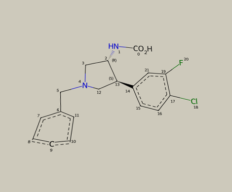 O=C(O)N[C@H]1CN(Cc2ccccc2)C[C@@H]1c1ccc(Cl)c(F)c1